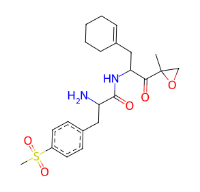 CC1(C(=O)C(CC2=CCCCC2)NC(=O)C(N)Cc2ccc(S(C)(=O)=O)cc2)CO1